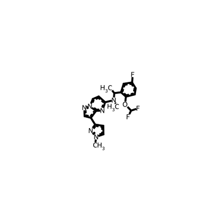 CC(c1cc(F)ccc1OC(F)F)N(C)c1ccn2ncc(-c3ccn(C)n3)c2n1